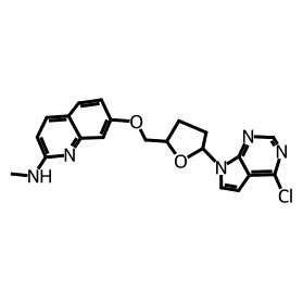 CNc1ccc2ccc(OCC3CCC(n4ccc5c(Cl)ncnc54)O3)cc2n1